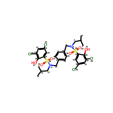 CC(C)CN(Cc1ccc(CN(CC(C)C)S(=O)(=O)c2cc(Cl)cc(Cl)c2O)cc1)S(=O)(=O)c1cc(Cl)cc(Cl)c1O